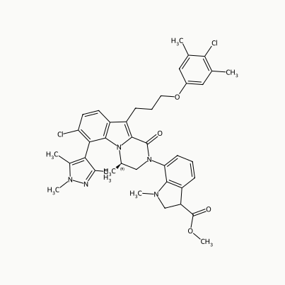 COC(=O)C1CN(C)c2c1cccc2N1C[C@@H](C)n2c(c(CCCOc3cc(C)c(Cl)c(C)c3)c3ccc(Cl)c(-c4c(C)nn(C)c4C)c32)C1=O